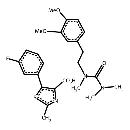 COc1ccc(CCN(C)C(=O)N(C)C)cc1OC.Cc1nc(C(=O)O)c(-c2cccc(F)c2)s1